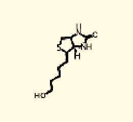 O=C1NC2CSC(CCCCCO)[C@H]2N1